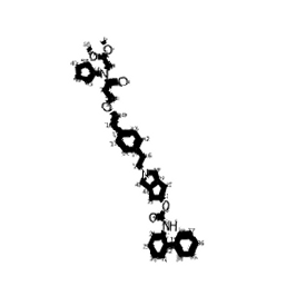 COC(CN(C(=O)CCOCCc1ccc(CCN2CC3CC(OC(=O)Nc4ccccc4-c4ccccc4)CC3C2)cc1)C1CCCC1)OC